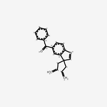 C=CCC1(CC=C)C=Nc2ccc(C(=O)c3ccccc3)cc21